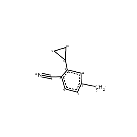 [CH2]c1ccc(C#N)c(C2CC2)c1